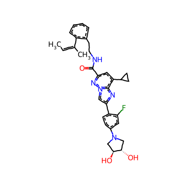 C/C=C(/C)c1ccccc1CCNC(=O)c1cc(C2CC2)c2nc(-c3ccc(N4C[C@H](O)[C@@H](O)C4)cc3F)cn2n1